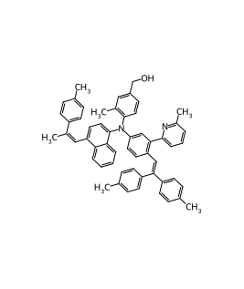 C/C(=C/c1ccc(N(c2ccc(C=C(c3ccc(C)cc3)c3ccc(C)cc3)c(-c3cccc(C)n3)c2)c2ccc(CO)cc2C)c2ccccc12)c1ccc(C)cc1